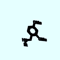 [CH2]CNCc1ccc(OC)cc1OC